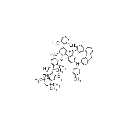 Cc1ccc(N(c2ccc(-c3cc(-c4c(C)cccc4C)cc(C)c3Sc3cccc(C(C)(C)c4cc5c(cc4C)C(C)(C)CCC5(C)C)c3C)c(Nc3ccccc3)c2)c2ccc3c(c2)-c2ccccc2C3)cc1